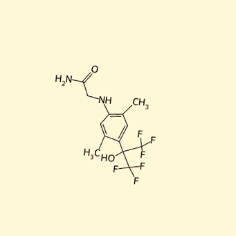 Cc1cc(C(O)(C(F)(F)F)C(F)(F)F)c(C)cc1NCC(N)=O